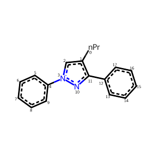 CCCc1cn(-c2ccccc2)nc1-c1ccccc1